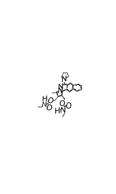 CCNC(=O)OCc1c(COC(=O)NCC)c2c3cc4ccccc4cc3c(N3CCCC3)nn2c1C